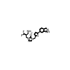 NCC(Cn1ncn(Cc2ccc(-c3ccc4cn[nH]c4c3)s2)c1=O)=C(F)F